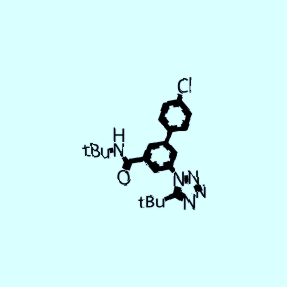 CC(C)(C)NC(=O)c1cc(-c2ccc(Cl)cc2)cc(-n2nnnc2C(C)(C)C)c1